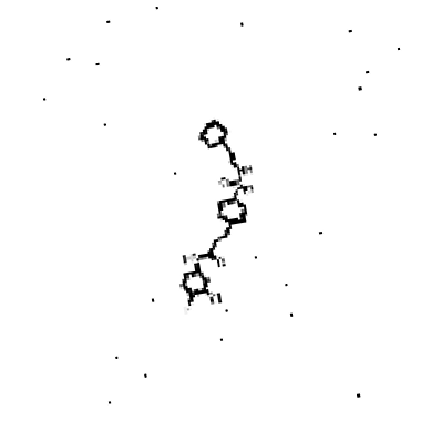 O=C(CCc1ccc(S(=O)(=O)NC=Cc2ccccc2)cc1)Nc1ccc(F)c(Cl)c1